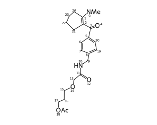 CNC1=C(C(=O)c2ccc(CNC(=O)COCCCOC(C)=O)cc2)CCCC1